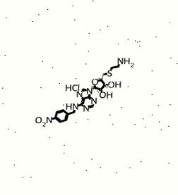 Cl.NCCSC[C@H]1O[C@@H](n2cnc3c(NCc4ccc([N+](=O)[O-])cc4)ncnc32)[C@H](O)[C@@H]1O